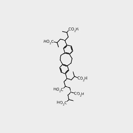 CC(CC(CC(CC(CC(C)C(=O)O)c1ccc2c(c1)CCc1ccc(C(CC(C)C(=O)O)CC(C)C(=O)O)cc1CC2)C(=O)O)C(=O)O)C(=O)O